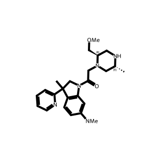 CNc1ccc2c(c1)N(C(=O)CN1C[C@@H](C)NC[C@@H]1COC)CC2(C)c1ccccn1